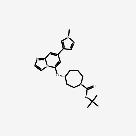 Cn1cc(-c2cc(O[C@@H]3CCCN(C(=O)OC(C)(C)C)CC3)n3ccnc3c2)cn1